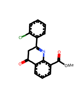 COC(=O)c1cccc2c1N=C(c1ccccc1Cl)CC2=O